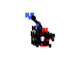 CC[C@H]1OC(=O)[C@H](C)[C@@H](OC)[C@H](C)[C@@H](O[C@@H]2O[C@H](C)C[C@H](N(C)CCc3cn(CCCCc4ccc(N)cc4)nn3)[C@H]2O)[C@](C)(O)C[C@@H](C)CN(C)[C@H](C)[C@@H](O)[C@]1(C)O